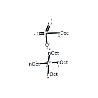 CCCCCCCCCCS(=O)(=O)[O-].CCCCCCCC[P+](CCCCCCCC)(CCCCCCCC)CCCCCCCC